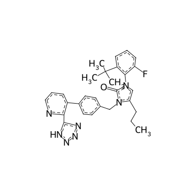 CCCc1cn(-c2c(F)cccc2C(C)(C)C)c(=O)n1Cc1ccc(-c2cccnc2-c2nnn[nH]2)cc1